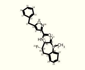 CN1C(=O)[C@@H](NC(=O)c2cc(Cc3ccccc3)on2)[C@@H](F)Cc2ccccc21